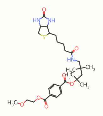 COCCOC(=O)c1ccc(C(=O)OC(C)(C)CC(C)(C)CNC(=O)CCCCC2SCC3NC(=O)NC32)cc1